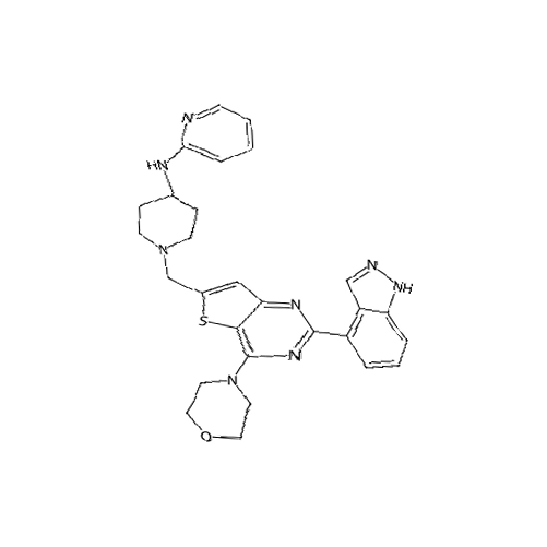 c1ccc(NC2CCN(Cc3cc4nc(-c5cccc6[nH]ncc56)nc(N5CCOCC5)c4s3)CC2)nc1